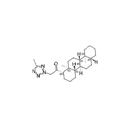 Cc1nnn(CC(=O)[C@H]2CCC[C@H]3[C@@H]4CC[C@H]5CCCC[C@]5(C)[C@H]4CC[C@]23C)n1